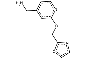 NCc1ccnc(OCc2ncco2)c1